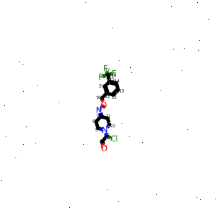 O=CC(Cl)N1CCC(=NOCc2cccc(C(F)(F)F)c2)CC1